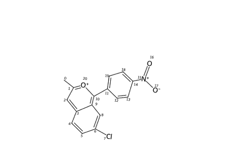 Cc1cc2ccc(Cl)cc2c(-c2ccc([N+](=O)[O-])cc2)[o+]1